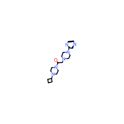 O=C(CN1CCN(c2cnccn2)CC1)N1CCN(C2CCC2)CC1